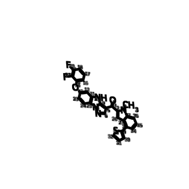 Cn1c(C(=O)c2cnn3c2[nH]c2cc(Oc4cccc(F)c4F)ccc23)cc2c(-c3cccs3)cccc21